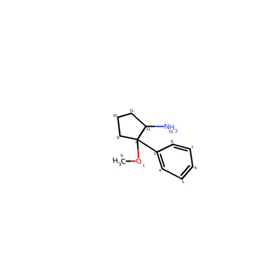 COC1(c2ccccc2)CCCC1N